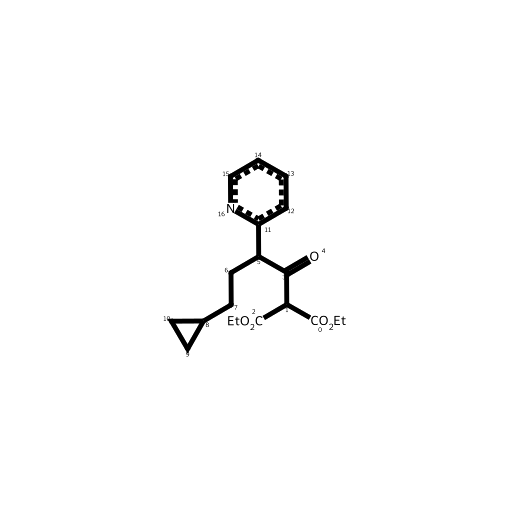 CCOC(=O)C(C(=O)OCC)C(=O)C(CCC1CC1)c1ccccn1